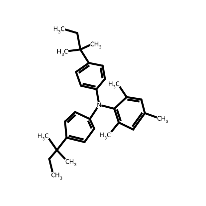 CCC(C)(C)c1ccc(N(c2ccc(C(C)(C)CC)cc2)c2c(C)cc(C)cc2C)cc1